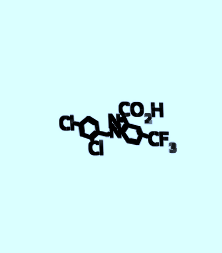 O=C(O)c1nn(Cc2ccc(Cl)cc2Cl)c2ccc(C(F)(F)F)cc12